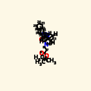 CC(C)(C)OC(=O)CCN1C[C@@H]2C[C@H]3C=N[C@]2(C(=O)NCc2ccccc2)[C@@H]1[C@@H]3Cc1ccccc1